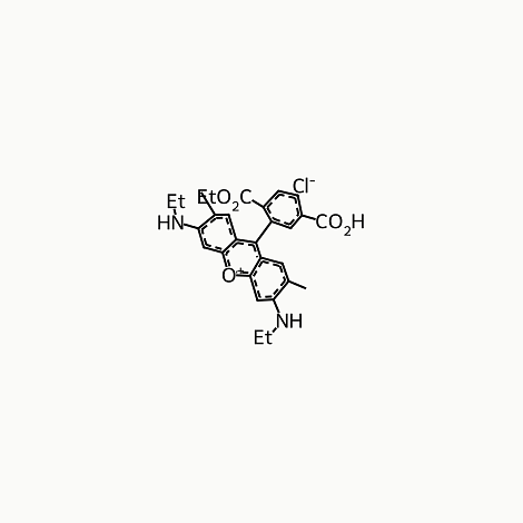 CCNc1cc2[o+]c3cc(NCC)c(C)cc3c(-c3cc(C(=O)O)ccc3C(=O)OCC)c2cc1C.[Cl-]